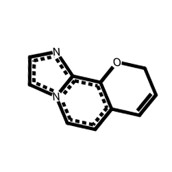 C1=Cc2ccn3ccnc3c2OC1